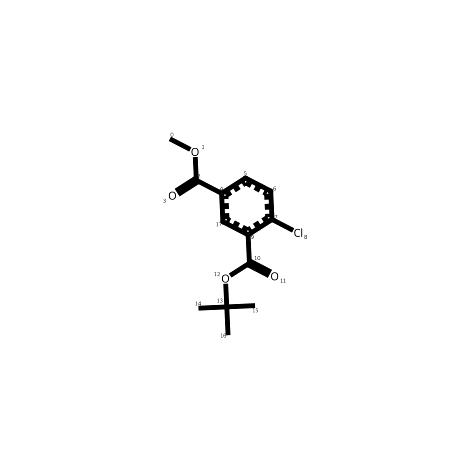 COC(=O)c1ccc(Cl)c(C(=O)OC(C)(C)C)c1